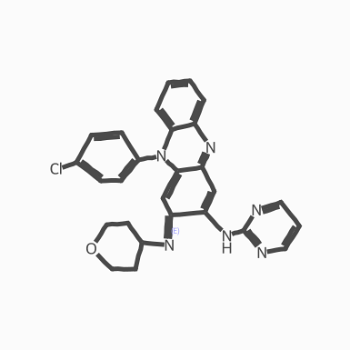 Clc1ccc(-n2c3c/c(=N\C4CCOCC4)c(Nc4ncccn4)cc-3nc3ccccc32)cc1